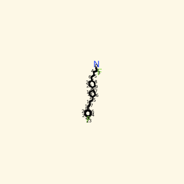 N#C/C(F)=C/C=C/C1CCC([C@H]2CC[C@H](CCCCc3ccc(F)cc3)CC2)CC1